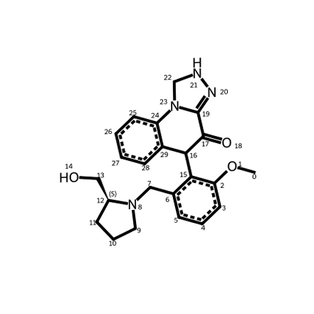 COc1cccc(CN2CCC[C@H]2CO)c1C1C(=O)C2=NNCN2c2ccccc21